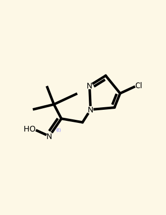 CC(C)(C)/C(Cn1cc(Cl)cn1)=N\O